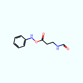 O=CNCCC(=O)ONc1ccccc1